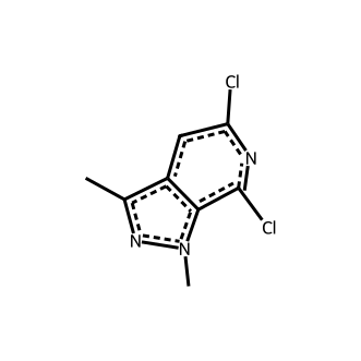 Cc1nn(C)c2c(Cl)nc(Cl)cc12